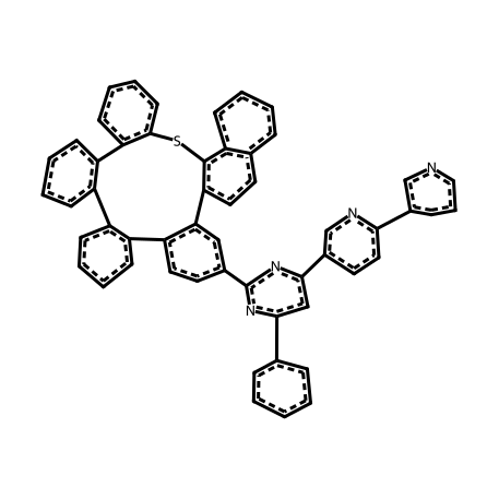 c1ccc(-c2cc(-c3ccc(-c4cccnc4)nc3)nc(-c3ccc4c(c3)-c3ccc5ccccc5c3Sc3ccccc3-c3ccccc3-c3ccccc3-4)n2)cc1